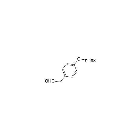 CCCCCCOc1ccc(C[C]=O)cc1